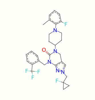 Cc1cccc(F)c1N1CCC(N2Cc3cn(CC4(F)CC4)nc3N(Cc3ccccc3C(F)(F)F)C2=O)CC1